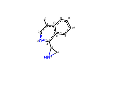 Cc1cnc(C2CN2)c2ccccc12